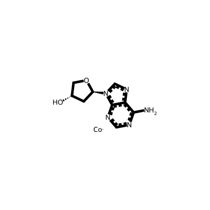 Nc1ncnc2c1ncn2[C@H]1C[C@H](O)CO1.[Co]